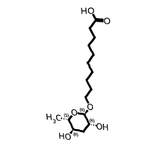 C[C@@H]1O[C@@H](OCCCCCCCCCC(=O)O)[C@H](O)C[C@H]1O